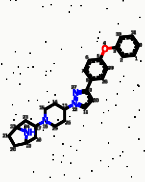 c1ccc(Oc2ccc(-c3ccn(C4CCN(C5CC6CCC(C5)N6)CC4)n3)cc2)cc1